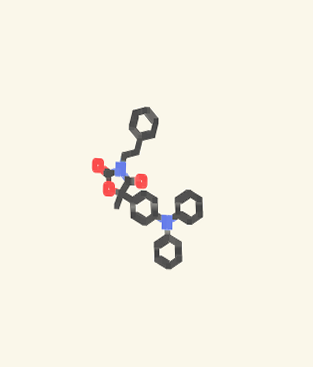 CC1(c2ccc(N(c3ccccc3)c3ccccc3)cc2)OC(=O)N(CCc2ccccc2)C1=O